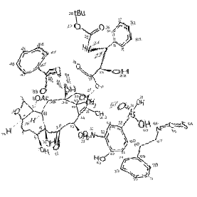 CC(=O)O[C@@]12CO[C@@H]1C[C@H](O)[C@@]1(C)C(=O)[C@H](O)C3=C(C)[C@@H](OC(=O)[C@H](O)[C@@H](NC(=O)OC(C)(C)C)c4ccccc4)C[C@@](O)([C@@H](OC(=O)c4ccccc4)[C@H]21)C3(C)C.O=[N+]([O-])c1cc([As](=O)(O)O)ccc1O.S=C=NCCc1ccccc1